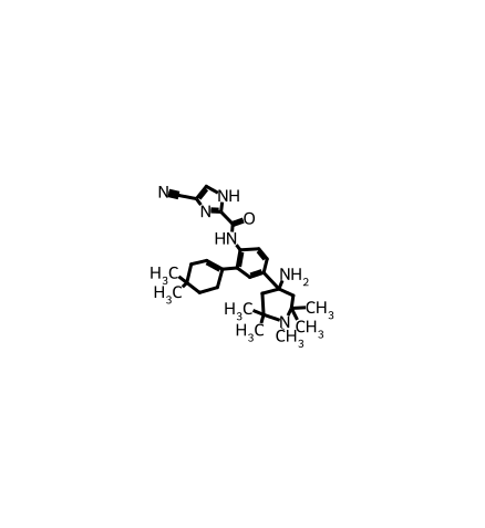 CN1C(C)(C)CC(N)(c2ccc(NC(=O)c3nc(C#N)c[nH]3)c(C3=CCC(C)(C)CC3)c2)CC1(C)C